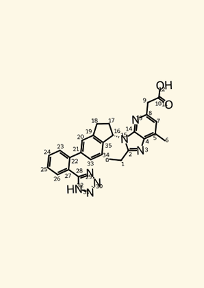 CCc1nc2c(C)cc(CC(=O)O)nc2n1[C@H]1CCc2cc(-c3ccccc3-c3nnn[nH]3)ccc21